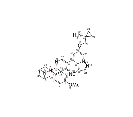 COc1ccc(CN2C3CC2CN(c2ccc(-c4cc(OCC5(N)CC5)cn5ncc(C#N)c45)cn2)C3)cn1